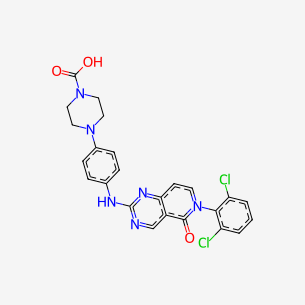 O=C(O)N1CCN(c2ccc(Nc3ncc4c(=O)n(-c5c(Cl)cccc5Cl)ccc4n3)cc2)CC1